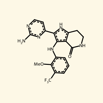 COc1c(Nc2c(-c3ccnc(N)n3)[nH]c3c2C(=O)NCC3)cccc1C(F)(F)F